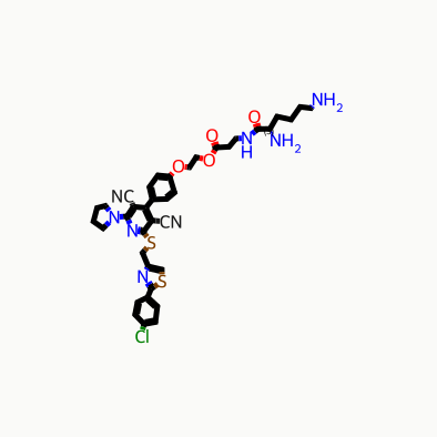 N#Cc1c(SCc2csc(-c3ccc(Cl)cc3)n2)nc(N2CCCC2)c(C#N)c1-c1ccc(OCCOC(=O)CCNC(=O)[C@@H](N)CCCCN)cc1